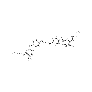 CCCCCc1cc(Cc2ccc(CCCCc3ccc(Cc4ccc(N)c(CCCCC)c4)cc3)cc2)ccc1N